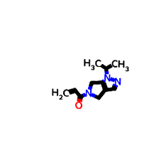 C=CC(=O)N1Cc2cnn(C(C)C)c2C1